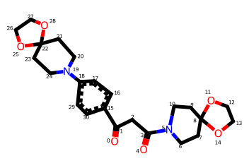 O=C(CC(=O)N1CCC2(CC1)OCCO2)c1ccc(N2CCC3(CC2)OCCO3)cc1